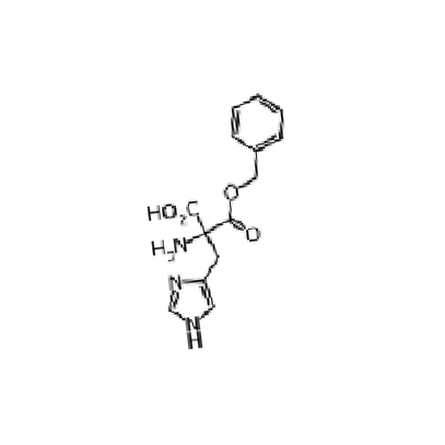 NC(Cc1c[nH]cn1)(C(=O)O)C(=O)OCc1ccccc1